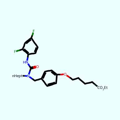 CCCCCCCN(Cc1ccc(OCCCCC(=O)OCC)cc1)C(=O)Nc1ccc(F)cc1F